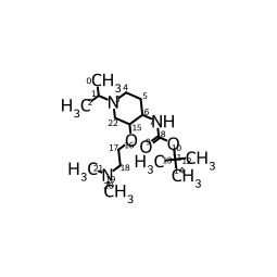 CC(C)N1CCC(NC(=O)OC(C)(C)C)C(OCCN(C)C)C1